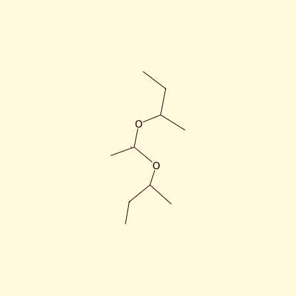 CCC(C)O[C](C)OC(C)CC